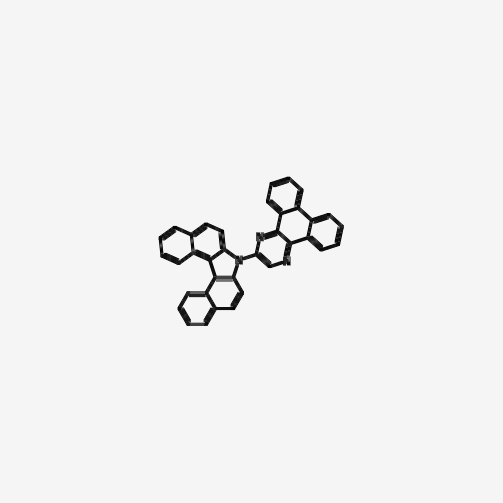 c1ccc2c(c1)ccc1c2c2c3ccccc3ccc2n1-c1cnc2c3ccccc3c3ccccc3c2n1